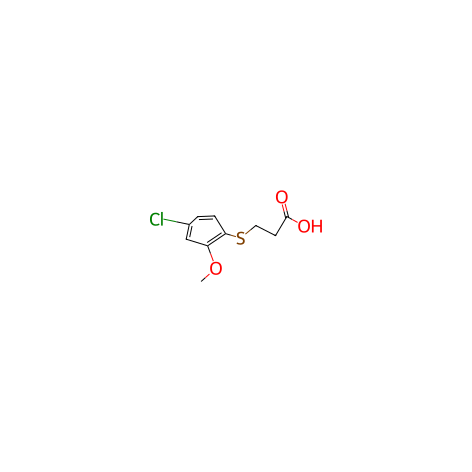 COc1cc(Cl)ccc1SCCC(=O)O